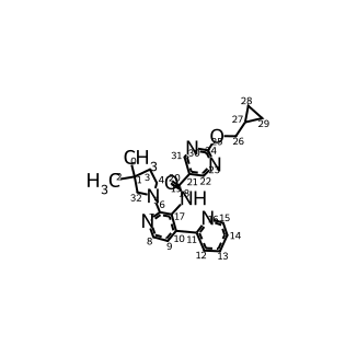 CC1(C)CCN(c2nccc(-c3ccccn3)c2NC(=O)c2cnc(OCC3CC3)nc2)C1